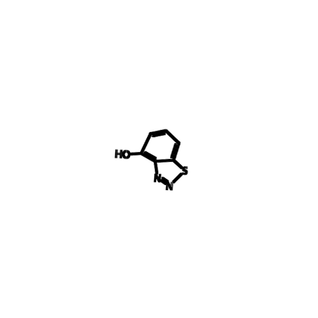 Oc1cccc2snnc12